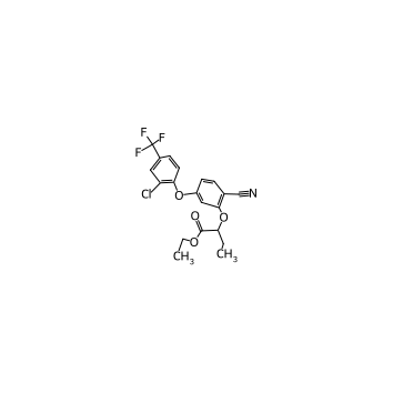 CCOC(=O)C(CC)Oc1cc(Oc2ccc(C(F)(F)F)cc2Cl)ccc1C#N